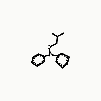 CC(C)COP(c1ccccc1)c1ccccc1